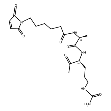 CC(=O)[C@H](CCCNC(N)=O)NC(=O)[C@H](C)NC(=O)CCCCCN1C(=O)C=CC1=O